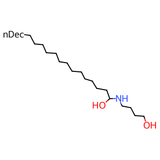 CCCCCCCCCCCCCCCCCCCCCCCC(O)NCCCCO